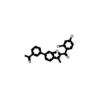 CC(=O)c1cccc(-c2ccc3c(C)c(C(=O)c4ccc(Cl)cc4Cl)oc3c2)c1